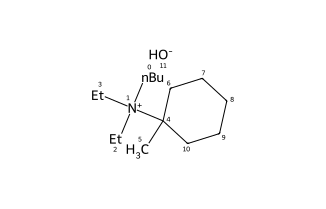 CCCC[N+](CC)(CC)C1(C)CCCCC1.[OH-]